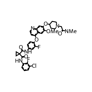 CNC(=O)CN1CCC(Oc2cc3nccc(Oc4ccc(NC(=O)C5(C(=O)Nc6cccc(Cl)c6F)CC5)cc4F)c3cc2OC)CC1